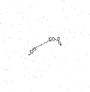 C=Cc1ccc(COCCCCCCCCCCCCOc2ccc(C=CC(=O)c3ccc(F)cc3)cc2)cc1